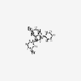 Brc1cccc(-n2c[n+](-c3ccccc3)c3nccnc32)c1.[Br-]